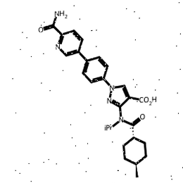 CC(C)N(c1nn(-c2ccc(-c3ccc(C(N)=O)nc3)cc2)cc1C(=O)O)C(=O)[C@H]1CC[C@H](C)CC1